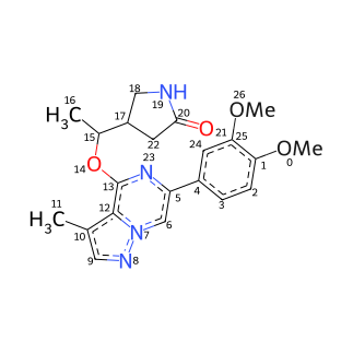 COc1ccc(-c2cn3ncc(C)c3c(OC(C)C3CNC(=O)C3)n2)cc1OC